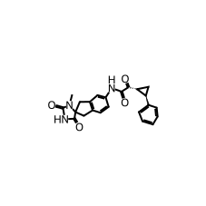 CN1C(=O)NC(=O)C12Cc1ccc(NC(=O)C(=O)[C@@H]3C[C@H]3c3ccccc3)cc1C2